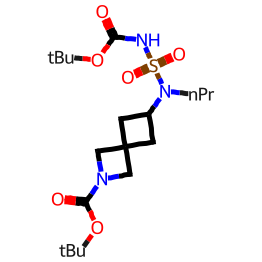 CCCN(C1CC2(C1)CN(C(=O)OC(C)(C)C)C2)S(=O)(=O)NC(=O)OC(C)(C)C